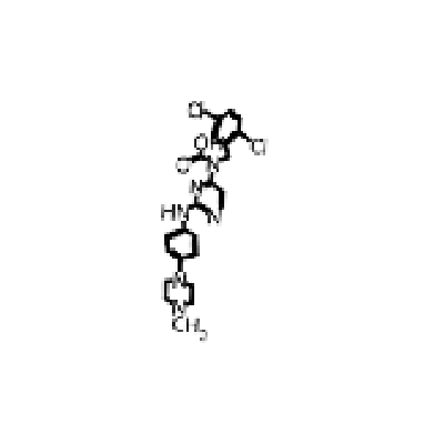 CN1CCN(c2ccc(Nc3nccc(N(Cc4cc(Cl)ccc4Cl)C(=O)O)n3)cc2)CC1